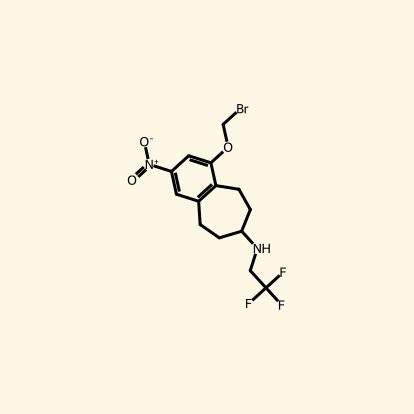 O=[N+]([O-])c1cc2c(c(OCBr)c1)CCC(NCC(F)(F)F)CC2